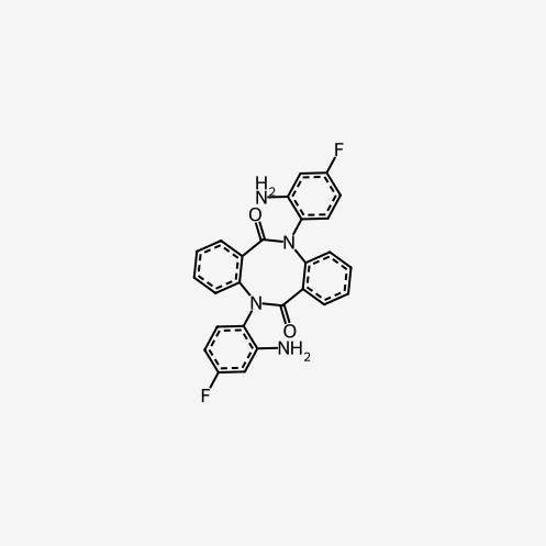 Nc1cc(F)ccc1N1C(=O)c2ccccc2N(c2ccc(F)cc2N)C(=O)c2ccccc21